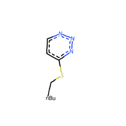 CCCCCSc1ccnnn1